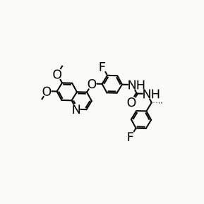 COc1cc2nccc(Oc3ccc(NC(=O)N[C@H](C)c4ccc(F)cc4)cc3F)c2cc1OC